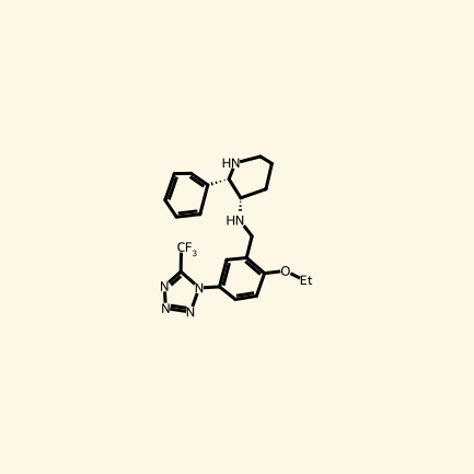 CCOc1ccc(-n2nnnc2C(F)(F)F)cc1CN[C@H]1CCCN[C@H]1c1ccccc1